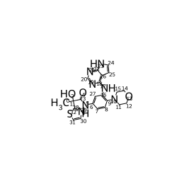 CC(O)(C(=O)Nc1ccc(N2CCOCC2)c(Nc2ncnc3[nH]ccc23)c1)c1nccs1